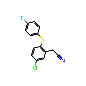 N#CCc1cc(Cl)ccc1Sc1ccc(F)cc1